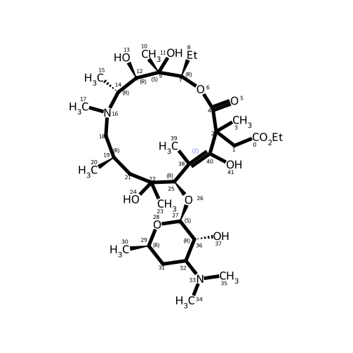 CCOC(=O)CC1(C)C(=O)O[C@H](CC)[C@@](C)(O)[C@H](O)[C@@H](C)N(C)C[C@H](C)CC(C)(O)[C@H](O[C@@H]2O[C@H](C)CC(N(C)C)[C@H]2O)/C(C)=C/1O